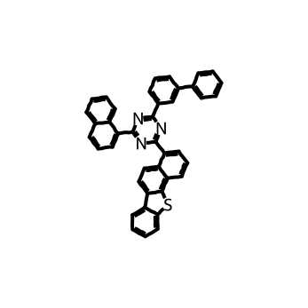 c1ccc(-c2cccc(-c3nc(-c4cccc5ccccc45)nc(-c4cccc5c4ccc4c6ccccc6sc54)n3)c2)cc1